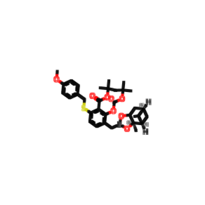 COc1ccc(CSc2ccc(CB3OC4C[C@@H]5C[C@@H](C5C)[C@]4(C)O3)c(OC(=O)OC(C)(C)C)c2C(=O)OC(C)(C)C)cc1